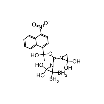 BC1(B)N(P(OC(C)(O)c2ccc([N+](=O)[O-])c3ccccc23)N2CC2(O)O)C1(O)O